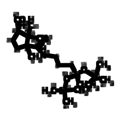 CC1(C(=O)NCCC[Si](C)(O[Si](C)(C)C)O[Si](C)(C)C)CCC(C(=O)O)C1(C)C